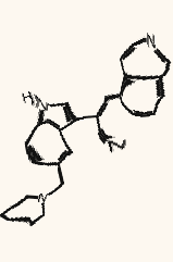 N#CC(=Cc1cccc2cnccc12)c1c[nH]c2ccc(CN3CCCC3)cc12